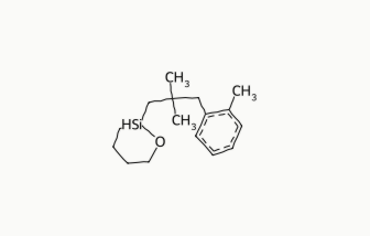 Cc1ccccc1CC(C)(C)C[SiH]1CCCCO1